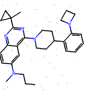 CCCN(C)c1ccc2nc(C3(C)CC3)nc(N3CCC(c4ccccc4N4CCC4)CC3)c2c1